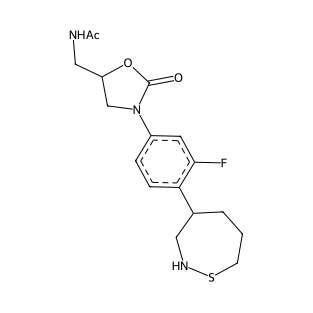 CC(=O)NCC1CN(c2ccc(C3CCCSNC3)c(F)c2)C(=O)O1